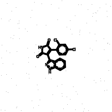 O=C1NC(=O)C(c2n[nH]c3ccccc23)=C1c1ccc(Cl)cc1Cl